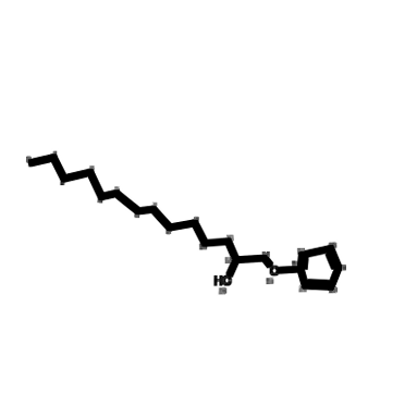 CCCCCCCCCCCCC(O)COc1ccccc1